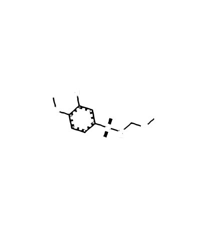 COCNS(=O)(=O)c1ccc(OC)c(Cl)c1